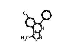 Cc1nnc2nc(-c3ccccc3)c3cc(Cl)ccc3n12